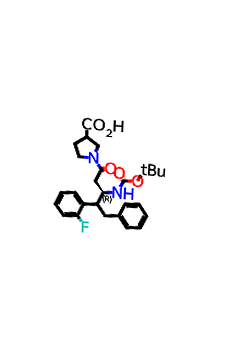 CC(C)(C)OC(=O)N[C@H](CC(=O)N1CCC(C(=O)O)C1)C(Cc1ccccc1)c1ccccc1F